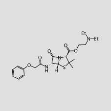 CCN(CC)CCOC(=O)[C@@H]1N2C(=O)[C@@H](NC(=O)COc3ccccc3)[C@H]2SC1(C)C